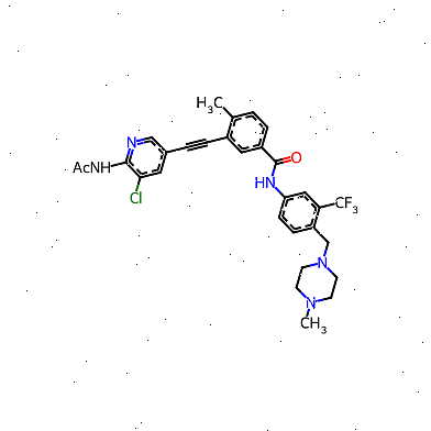 CC(=O)Nc1ncc(C#Cc2cc(C(=O)Nc3ccc(CN4CCN(C)CC4)c(C(F)(F)F)c3)ccc2C)cc1Cl